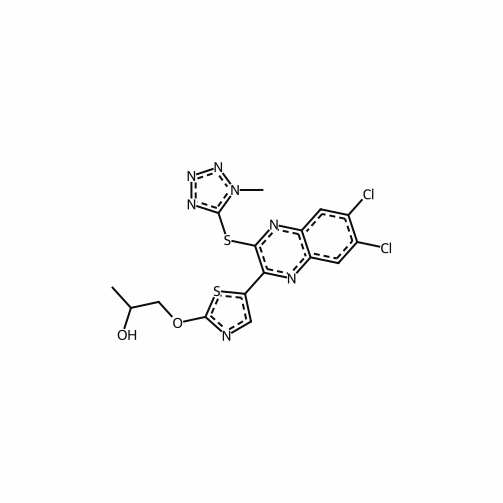 CC(O)COc1ncc(-c2nc3cc(Cl)c(Cl)cc3nc2Sc2nnnn2C)s1